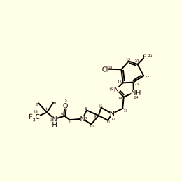 CC(C)(NC(=O)CN1CC2(C1)CN(Cc1nc3c(Cl)cc(F)cc3[nH]1)C2)C(F)(F)F